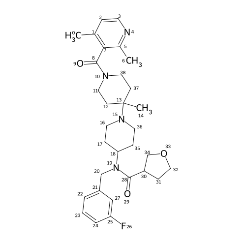 Cc1ccnc(C)c1C(=O)N1CCC(C)(N2CCC(N(Cc3cccc(F)c3)C(=O)C3CCOC3)CC2)CC1